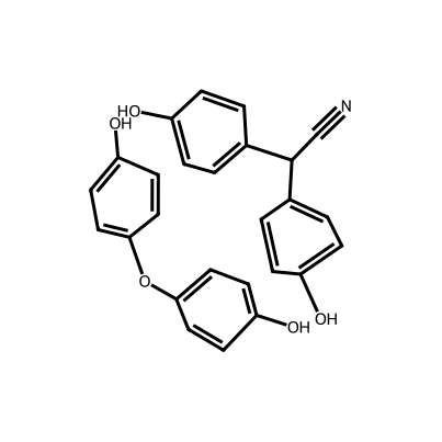 N#CC(c1ccc(O)cc1)c1ccc(O)cc1.Oc1ccc(Oc2ccc(O)cc2)cc1